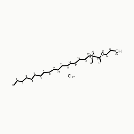 CCCCCCCCCCCCCCCCCC[N+](C)(C)C(C)OCCO.[Cl-]